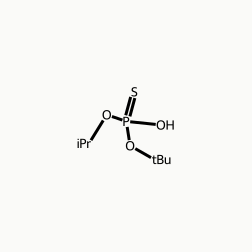 CC(C)OP(O)(=S)OC(C)(C)C